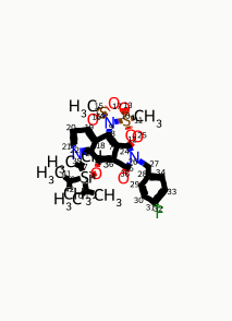 CC(C)[Si](Oc1c2c(c(N(S(C)(=O)=O)S(C)(=O)=O)c3cccnc13)C(=O)N(Cc1ccc(F)cc1)C2=O)(C(C)C)C(C)C